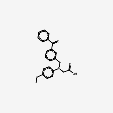 COc1ccc(N(CC(=O)O)Cc2cccc(C(=O)c3ccccc3)c2)cc1